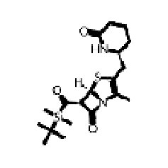 CC1=C(C[C@@H]2CCCC(=O)N2)S[C@@H]2[C@H](C(=O)[Si](C)(C)C(C)(C)C)C(=O)N12